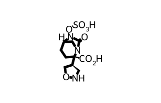 O=C1N(OS(=O)(=O)O)[C@@H]2CC[C@@](C(=O)O)([C@H]3CNOC3)N1C2